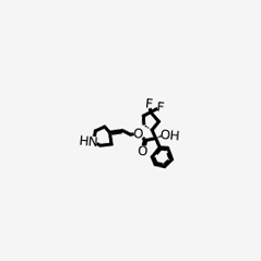 O=C(OCC=C1CCNCC1)[C@](O)(c1ccccc1)[C@@H]1CCC(F)(F)C1